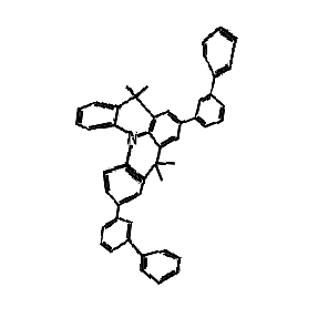 CC1(C)c2ccccc2N2c3ccc(-c4cccc(-c5ccccc5)c4)cc3C(C)(C)c3cc(-c4cccc(-c5ccccc5)c4)cc1c32